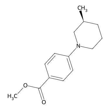 COC(=O)c1ccc(N2CCC[C@H](C)C2)cc1